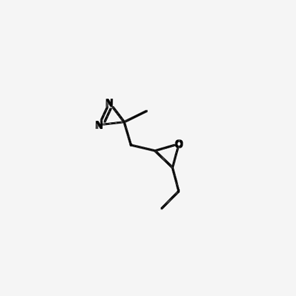 CCC1OC1CC1(C)N=N1